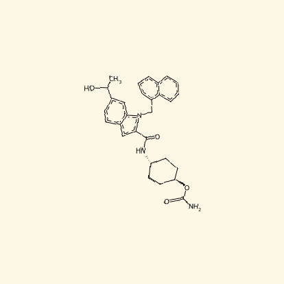 CC(O)c1ccc2cc(C(=O)N[C@H]3CC[C@H](OC(N)=O)CC3)n(Cc3cccc4ccccc34)c2c1